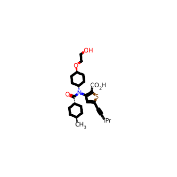 CC(C)C#Cc1cc(N(C(=O)[C@H]2CC[C@H](C)CC2)[C@H]2CC[C@H](OCCO)CC2)c(C(=O)O)s1